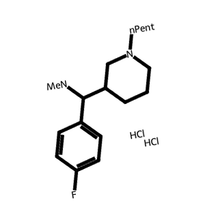 CCCCCN1CCCC(C(NC)c2ccc(F)cc2)C1.Cl.Cl